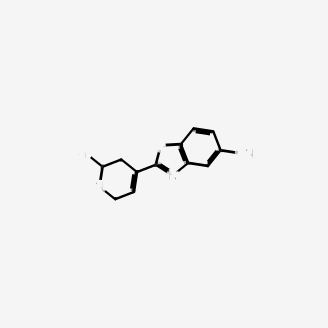 CC(C)C1CC(c2nc3cc(C#N)ccc3s2)=CCN1